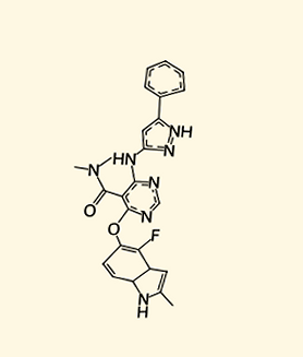 CC1=CC2C(F)=C(Oc3ncnc(Nc4cc(-c5ccccc5)[nH]n4)c3C(=O)N(C)C)C=CC2N1